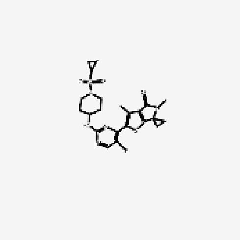 Cc1c(-c2nc(NC3CCN(S(=O)(=O)C4CC4)CC3)ncc2F)sc2c1C(=O)N(C)C21CC1